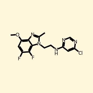 COc1cc(F)c(F)c2c1nc(C)n2CCNc1cc(Cl)ncn1